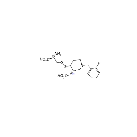 N[C@@H](CSSC1CCN(Cc2ccccc2F)C/C1=C/C(=O)O)C(=O)O